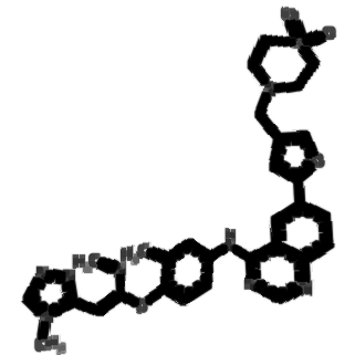 C=N/C(=C\c1nncn1C)Oc1ccc(Nc2ncnc3ccc(-c4cc(CN5CCS(=O)(=O)CC5)co4)cc23)cc1C